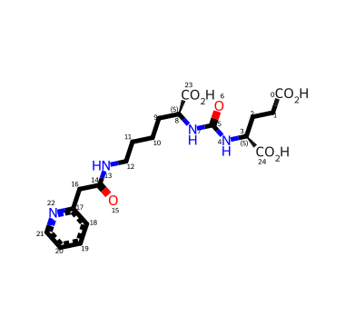 O=C(O)CC[C@H](NC(=O)N[C@@H](CCCCNC(=O)Cc1ccccn1)C(=O)O)C(=O)O